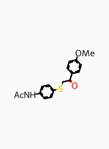 COc1ccc(C(=O)CSc2ccc(NC(C)=O)cc2)cc1